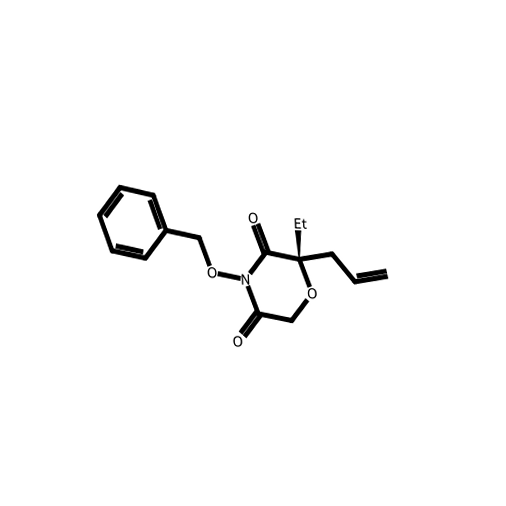 C=CC[C@]1(CC)OCC(=O)N(OCc2ccccc2)C1=O